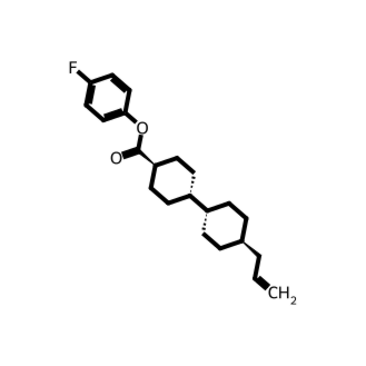 C=CC[C@H]1CC[C@H]([C@H]2CC[C@H](C(=O)Oc3ccc(F)cc3)CC2)CC1